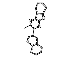 Cc1nc2c(nc1-c1ccc3ccccc3c1)oc1ccccc12